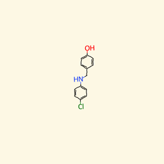 Oc1ccc(CNc2ccc(Cl)cc2)cc1